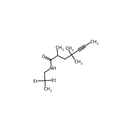 CC#CC(C)(C)CC(C)C(=O)NCC(C)(CC)CC